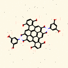 O=C(O)c1cc(C(=O)O)cc(-n2c(=O)c3cc4c5c(C(=O)O)ccc(C(=O)O)c5c5cc6c(=O)n(-c7cc(C(=O)O)cc(C(=O)O)c7)c(=O)c7cc8c9c(C(=O)O)ccc(C(=O)O)c9c9cc(c2=O)c3c2c4c5c(c67)c8c92)c1